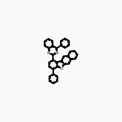 c1ccc(-c2nc(-c3ccc(-c4ccccc4)c4oc5cc6ccccc6cc5c34)nc3ccccc23)cc1